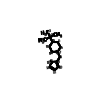 CC(C)(C)C1CCN(Cc2cccs2)CC1